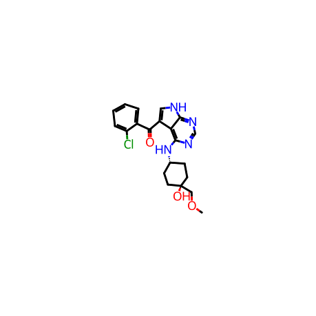 COC[C@]1(O)CC[C@H](Nc2ncnc3[nH]cc(C(=O)c4ccccc4Cl)c23)CC1